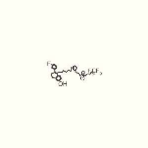 O=S(=O)(CCC[C@H]1CCCN1CCCCCCC1=C(c2cccc(F)c2)CCCc2cc(O)ccc21)CCCC(F)(F)C(F)(F)F